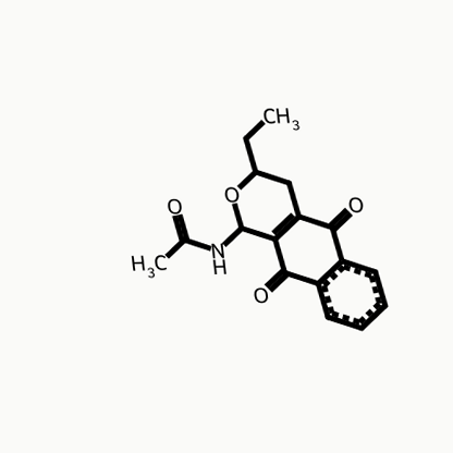 CCC1CC2=C(C(=O)c3ccccc3C2=O)C(NC(C)=O)O1